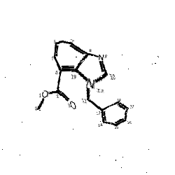 COC(=O)c1cccc2ncn(Cc3ccccc3)c12